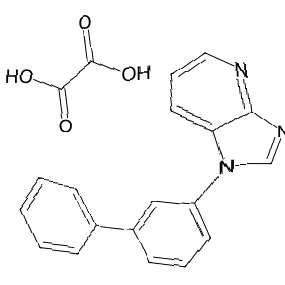 O=C(O)C(=O)O.c1ccc(-c2cccc(-n3cnc4ncccc43)c2)cc1